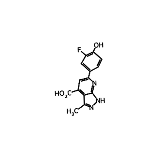 Cc1n[nH]c2nc(-c3ccc(O)c(F)c3)cc(C(=O)O)c12